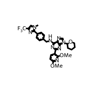 COc1ccc(-c2nc(NCc3ccc(-c4nc(C(F)(F)F)cn4C)cc3)c3ncn(C4CCCCO4)c3n2)c(OC)n1